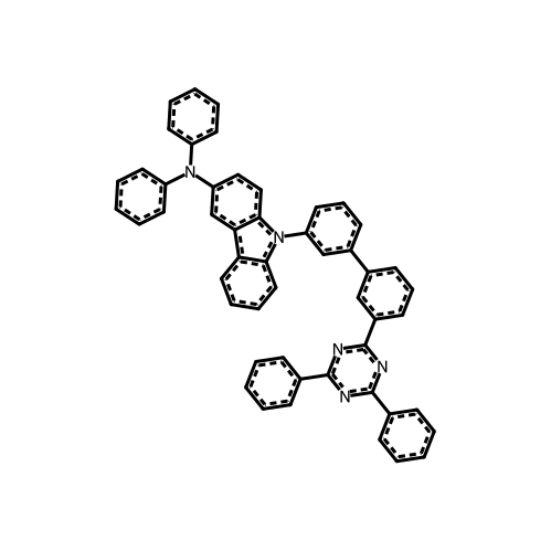 c1ccc(-c2nc(-c3ccccc3)nc(-c3cccc(-c4cccc(-n5c6ccccc6c6cc(N(c7ccccc7)c7ccccc7)ccc65)c4)c3)n2)cc1